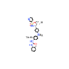 COc1cc(N(C(C)=O)c2ccc(C(CC(=O)O)NS(=O)(=O)c3cccnc3)cc2)ccc1NC(=O)Nc1ccccc1C